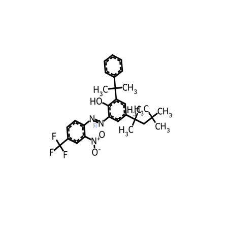 CC(C)(C)CC(C)(C)c1cc(/N=N/c2ccc(C(F)(F)F)cc2[N+](=O)[O-])c(O)c(C(C)(C)c2ccccc2)c1